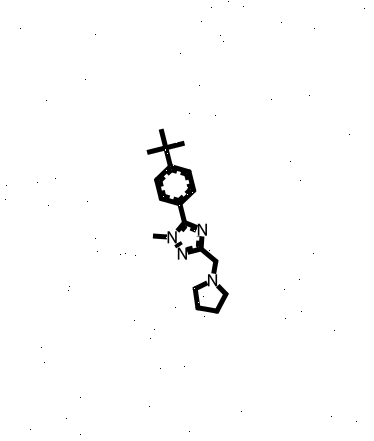 Cn1nc(CN2CCCC2)nc1-c1ccc(C(C)(C)C)cc1